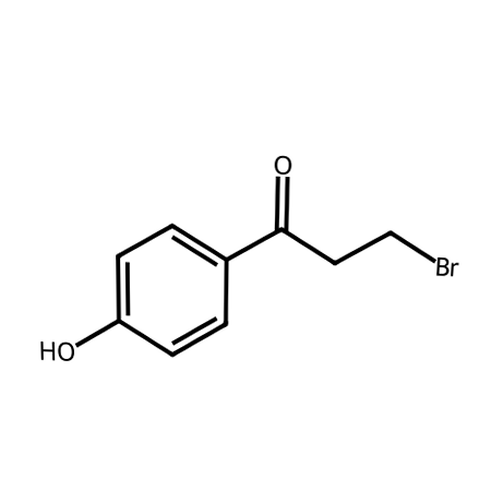 O=C(CCBr)c1ccc(O)cc1